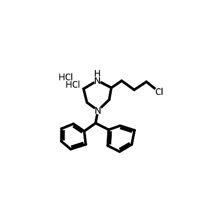 Cl.Cl.ClCCCC1CN(C(c2ccccc2)c2ccccc2)CCN1